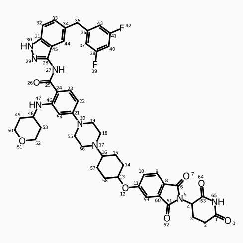 O=C1CCC(N2C(=O)c3ccc(OC4CCC(N5CCN(c6ccc(C(=O)Nc7n[nH]c8ccc(Cc9cc(F)cc(F)c9)cc78)c(NC7CCOCC7)c6)CC5)CC4)cc3C2=O)C(=O)N1